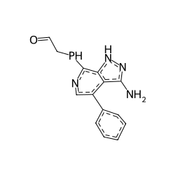 Nc1n[nH]c2c(PCC=O)ncc(-c3ccccc3)c12